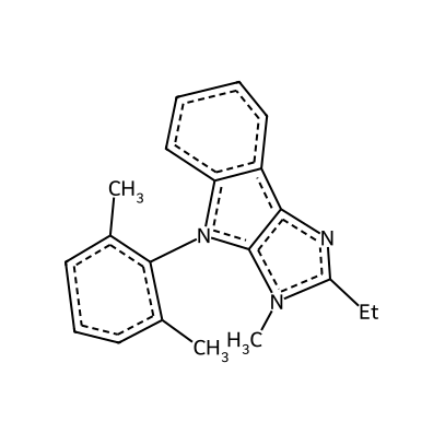 CCc1nc2c3ccccc3n(-c3c(C)cccc3C)c2n1C